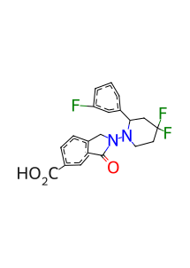 O=C(O)c1ccc2c(c1)C(=O)N(N1CCC(F)(F)CC1c1cccc(F)c1)C2